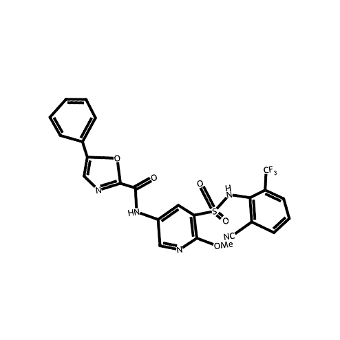 COc1ncc(NC(=O)c2ncc(-c3ccccc3)o2)cc1S(=O)(=O)Nc1c(C#N)cccc1C(F)(F)F